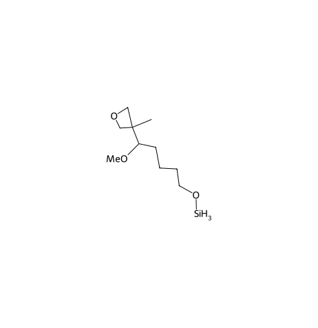 COC(CCCCO[SiH3])C1(C)COC1